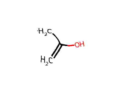 [CH2]C(=C)O